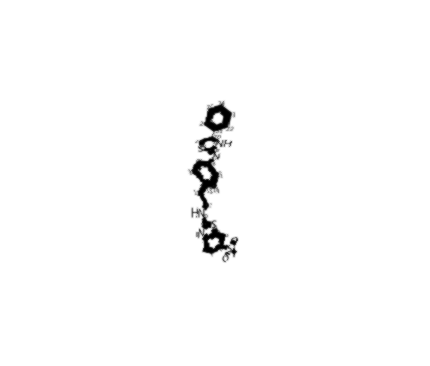 CS(=O)(=O)c1ccc2nc(NCCc3ccc(/N=C4/N[C@@H](c5ccccc5)CS4)cc3)sc2c1